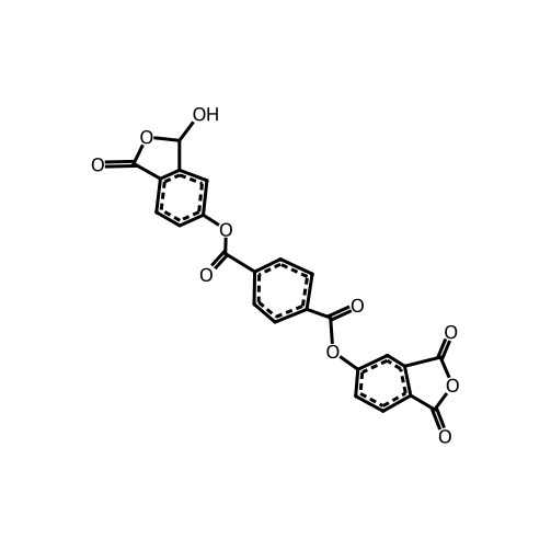 O=C(Oc1ccc2c(c1)C(=O)OC2=O)c1ccc(C(=O)Oc2ccc3c(c2)C(O)OC3=O)cc1